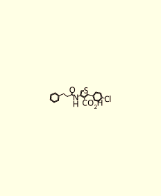 O=C(CCc1ccccc1)Nc1csc(-c2ccc(Cl)cc2)c1C(=O)O